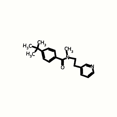 CN(CCc1cccnc1)C(=O)c1ccc(C(C)(C)C)cc1